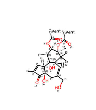 CCCCCC(=O)O[C@@H]1[C@@H](C)[C@@]2(O)[C@@H](C=C(CO)C[C@]3(O)C(=O)C(C)=C[C@@H]23)C(C)(C)[C@]1(C)OC(=O)CCCCC